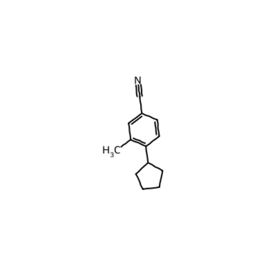 Cc1cc(C#N)ccc1C1CCCC1